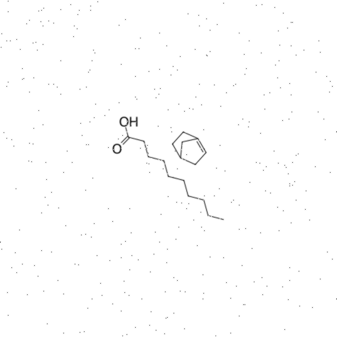 C1=C2CCC(C1)C2.CCCCCCCCCC(=O)O